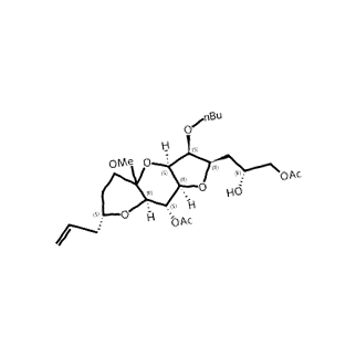 C=CC[C@@H]1CCC2(OC)O[C@@H]3[C@@H](O[C@H](C[C@@H](O)COC(C)=O)[C@@H]3OCCCC)[C@H](OC(C)=O)[C@H]2O1